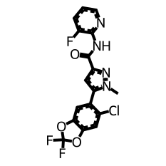 Cn1nc(C(=O)Nc2ncccc2F)cc1-c1cc2c(cc1Cl)OC(F)(F)O2